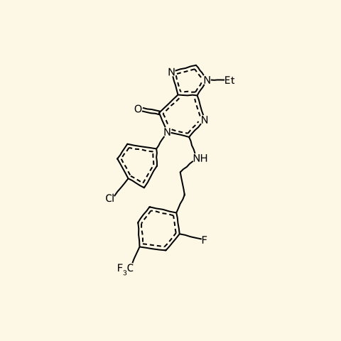 CCn1cnc2c(=O)n(-c3ccc(Cl)cc3)c(NCCc3ccc(C(F)(F)F)cc3F)nc21